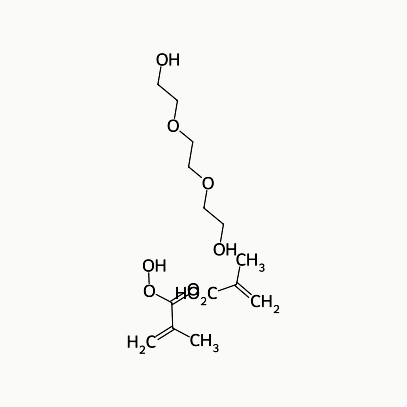 C=C(C)C(=O)O.C=C(C)C(=O)OO.OCCOCCOCCO